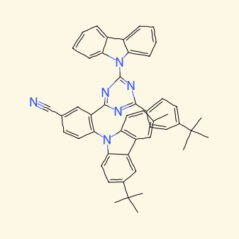 Cc1ccc2c(c1)c1cc(C(C)(C)C)ccc1n2-c1ccc(C#N)cc1-c1nc(-c2ccc(C(C)(C)C)cc2)nc(-n2c3ccccc3c3ccccc32)n1